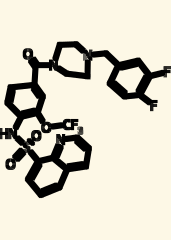 O=C(c1ccc(NS(=O)(=O)c2cccc3cccnc23)c(OC(F)(F)F)c1)N1CCN(Cc2ccc(F)c(F)c2)CC1